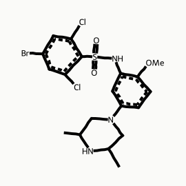 COc1ccc(N2CC(C)NC(C)C2)cc1NS(=O)(=O)c1c(Cl)cc(Br)cc1Cl